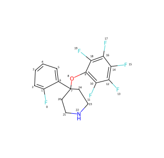 Fc1ccccc1C1(Oc2c(F)c(F)c(F)c(F)c2F)CCNCC1